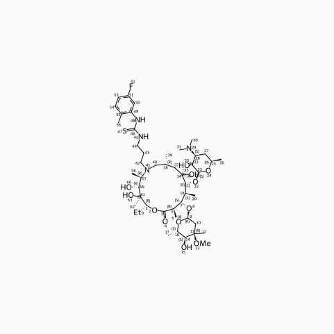 CC[C@H]1OC(=O)[C@H](C)[C@@H](O[C@H]2C[C@@](C)(OC)[C@@H](O)[C@H](C)O2)[C@H](C)[C@@H](O[C@@H]2O[C@H](C)C[C@H](N(C)C)[C@H]2O)[C@](C)(O)C[C@@H](C)CN(CCCNC(=S)Nc2cc(F)ccc2C)[C@H](C)[C@@H](O)[C@]1(C)O